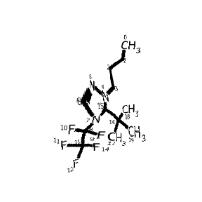 CCCCN1N=CN(C(F)(F)C(F)(F)F)C1C(C)(C)C